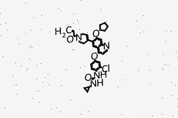 C=CC(=O)N1CC=C(c2cc3c(Oc4ccc(NC(=O)NC5CC5)c(Cl)c4)ccnc3cc2OC2CCCC2)CC1